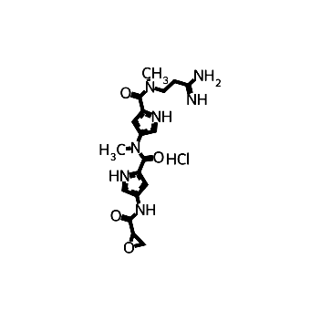 CN(CCC(=N)N)C(=O)c1cc(N(C)C(=O)c2cc(NC(=O)C3CO3)c[nH]2)c[nH]1.Cl